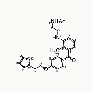 CC(=O)NCCNc1cccc(C(=O)N2C=CC(OCCc3cccs3)=CC2)c1C